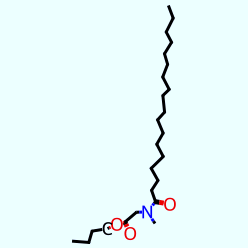 CCCCCCCCCCCCCCCCCC(=O)N(C)CC(=O)OCCCC